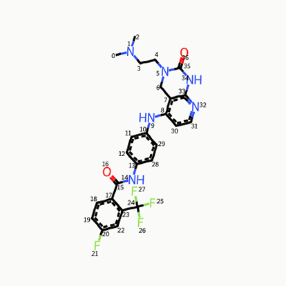 CN(C)CCN1Cc2c(Nc3ccc(NC(=O)c4ccc(F)cc4C(F)(F)F)cc3)ccnc2NC1=O